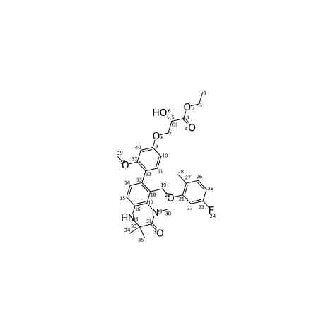 CCOC(=O)[C@@H](O)COc1ccc(-c2ccc3c(c2COc2cc(F)ccc2C)N(C)C(=O)C(C)(C)N3)c(OC)c1